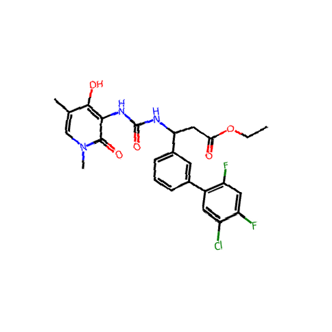 CCOC(=O)CC(NC(=O)Nc1c(O)c(C)cn(C)c1=O)c1cccc(-c2cc(Cl)c(F)cc2F)c1